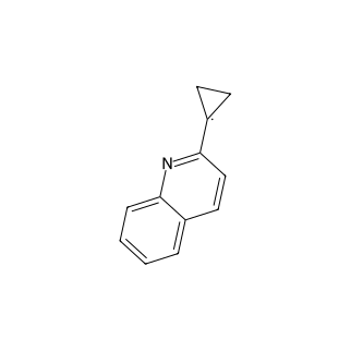 c1ccc2nc([C]3CC3)ccc2c1